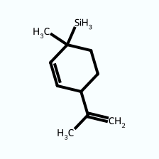 C=C(C)C1C=CC(C)([SiH3])CC1